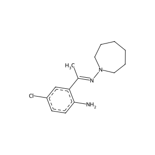 C/C(=N\N1CCCCCC1)c1cc(Cl)ccc1N